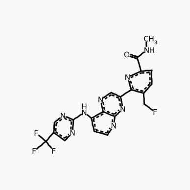 CNC(=O)c1ccc(CF)c(-c2cnc3c(Nc4ncc(C(F)(F)F)cn4)ccnc3n2)n1